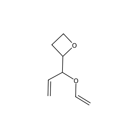 C=COC(C=C)C1CCO1